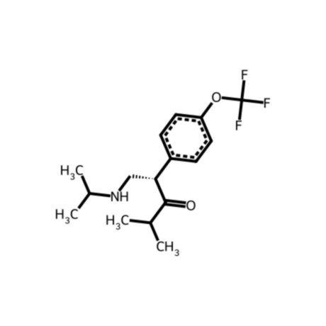 CC(C)NC[C@@H](C(=O)C(C)C)c1ccc(OC(F)(F)F)cc1